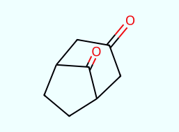 O=C1CC2CCC(C1)C2=O